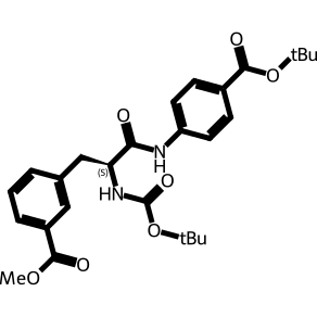 COC(=O)c1cccc(C[C@H](NC(=O)OC(C)(C)C)C(=O)Nc2ccc(C(=O)OC(C)(C)C)cc2)c1